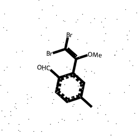 COC(=C(Br)Br)c1cc(C)ccc1C=O